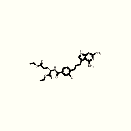 CCOC(=O)CC[C@H](NC(=O)c1ccc(CCCc2c[nH]c3nc(N)nc(N)c23)c(Cl)c1)C(=O)OCC